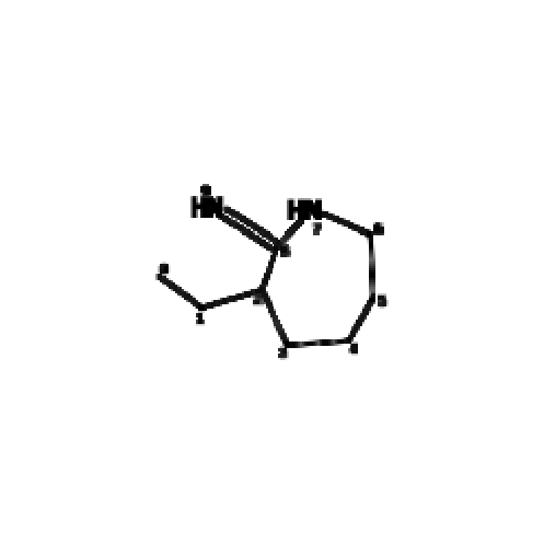 CCC1CCCCNC1=N